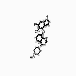 CC(=O)N1CCN(c2ncnc3c(Oc4c(Cl)c(F)cc5[nH]ncc45)cccc23)CC1